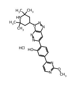 COc1nccc(-c2ccc(-c3cc4nnn(C5CC(C)(C)NC(C)(C)C5)c4nn3)c(O)c2)n1.Cl